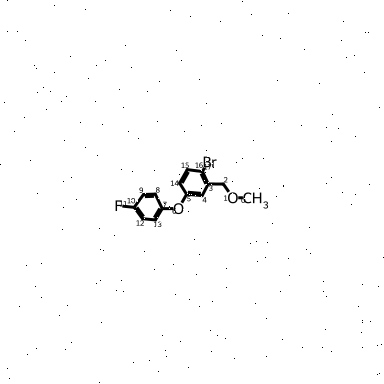 COCc1cc(Oc2ccc(F)cc2)ccc1Br